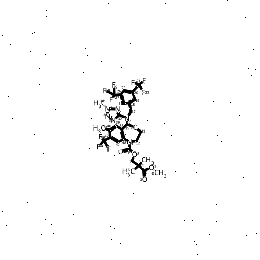 COC(=O)C(C)(C)COC(=O)N1CCC[C@H](N(Cc2cc(C(F)(F)F)cc(C(F)(F)F)c2)c2nnn(C)n2)c2cc(C)c(C(F)(F)F)cc21